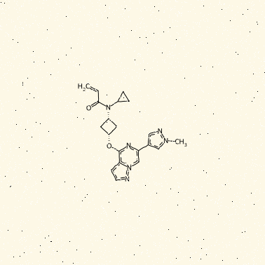 C=CC(=O)N(C1CC1)[C@H]1C[C@@H](Oc2nc(-c3cnn(C)c3)cn3nccc23)C1